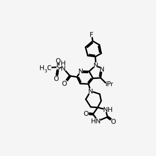 CC(C)c1nn(-c2ccc(F)cc2)c2nc(C(=O)NS(C)(=O)=O)cc(N3CCC4(CC3)NC(=O)NC4=O)c12